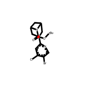 CC(C)(C)OC(=O)N1C2CC1CN(c1cc(Cl)c(Br)cn1)C2